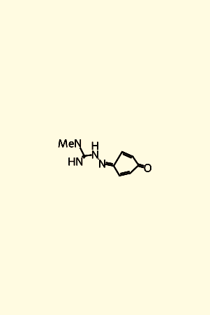 CNC(=N)NN=C1C=CC(=O)C=C1